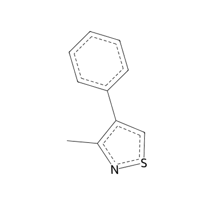 Cc1nscc1-c1ccccc1